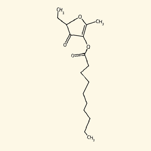 CCCCCCCCCC(=O)OC1=C(C)OC(CC)C1=O